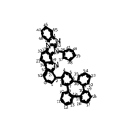 C1=CC(c2ccc3c(c2)-c2ccccc2-c2ccccc2-c2ccccc2-3)c2nc3c(ccc4c3n(-c3ccccc3)c3nc5ccccc5n43)c2=C1